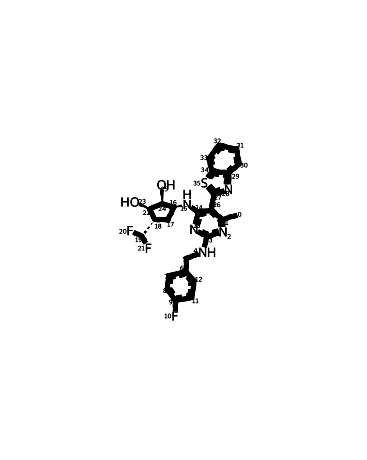 Cc1nc(NCc2ccc(F)cc2)nc(N[C@@H]2C[C@H](C(F)F)[C@@H](O)[C@H]2O)c1-c1nc2ccccc2s1